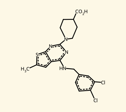 Cc1cc2c(NCc3ccc(Cl)c(Cl)c3)nc(N3CCC(C(=O)O)CC3)nc2s1